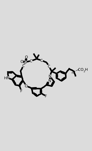 C[C@H](Cc1cccc(C2(C)CCCC(C)(C)CS(=O)(=O)CCc3c(c(F)cc4[nH]ccc34)Oc3ccc(F)c(c3)-c3ccn2n3)c1)C(=O)O